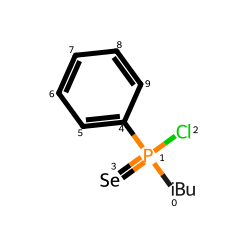 CCC(C)P(Cl)(=[Se])c1ccccc1